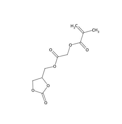 C=C(C)C(=O)OCC(=O)OCC1COC(=O)O1